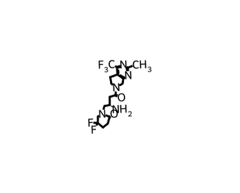 Cc1nc2c(c(C(F)(F)F)n1)CCN(C(=O)C[C@H](N)CN1CC(F)(F)CCC1=O)C2